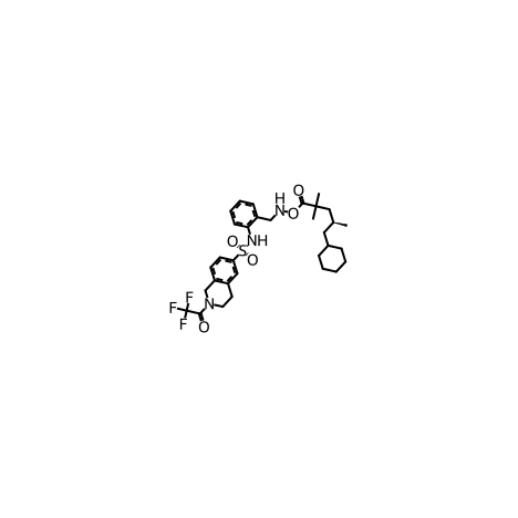 C[C@@H](CC1CCCCC1)CC(C)(C)C(=O)ONCc1ccccc1NS(=O)(=O)c1ccc2c(c1)CCN(C(=O)C(F)(F)F)C2